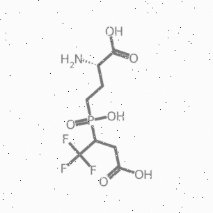 N[C@@H](CCP(=O)(O)C(CC(=O)O)C(F)(F)F)C(=O)O